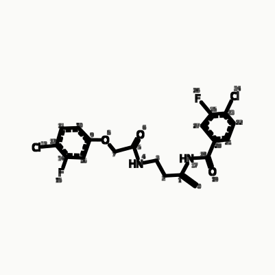 C=C(CCNC(=O)COc1ccc(Cl)c(F)c1)NC(=O)c1ccc(Cl)c(F)c1